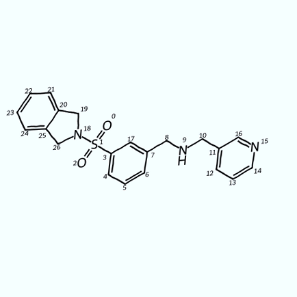 O=S(=O)(c1cccc(CNCc2cccnc2)c1)N1Cc2ccccc2C1